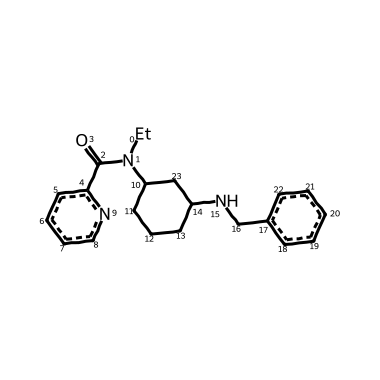 CCN(C(=O)c1ccccn1)C1CCCC(NCc2ccccc2)C1